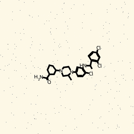 CC(Nc1cc(N2CCN(C3CCCC(C(N)=O)C3)CC2C)ccc1Cl)c1ccc(Cl)cc1Cl